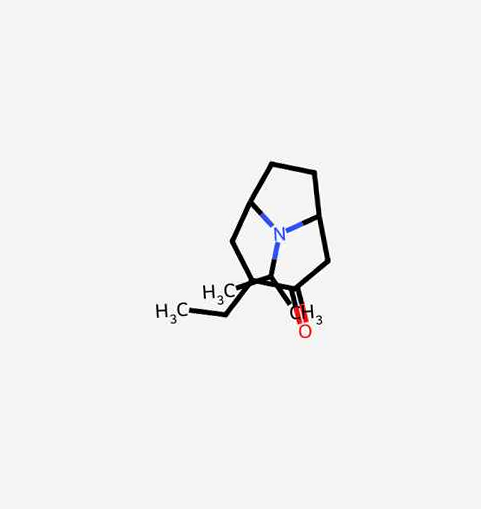 CCC1CC2CCC(CC1=O)N2C(C)C